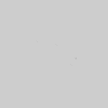 Cc1cc(NCc2c[nH]nc2-c2ccc(Cl)cc2)cnc1F